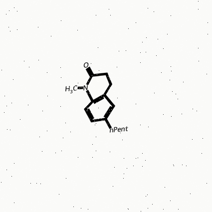 [CH2]CCCCc1ccc2c(c1)CCC(=O)N2C